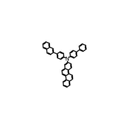 c1ccc(-c2ccc(N(c3ccc(-c4ccc5ccccc5c4)cc3)c3ccc4c(ccc5c6ccccc6ccc45)c3)cc2)cc1